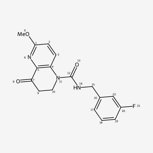 COc1ccc2c(n1)C(=O)CCN2C(=O)NCc1cccc(F)c1